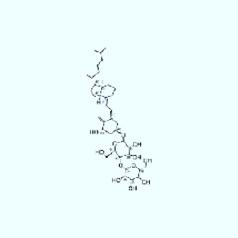 C=C1/C(=C\C=C2/CCC[C@]3(C)[C@@H](C(C)CCCC(C)C)CC[C@@H]23)C[C@@H](OC2O[C@H](CO)[C@@H](O[C@@H]3O[C@H](CO)C(O)[C@H](O)[C@H]3O)[C@H](O)[C@H]2O)C[C@@H]1O